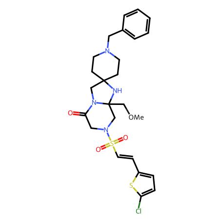 COCC12CN(S(=O)(=O)C=Cc3ccc(Cl)s3)CC(=O)N1CC1(CCN(Cc3ccccc3)CC1)N2